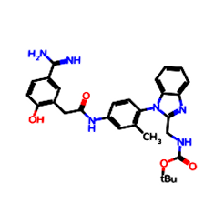 Cc1cc(NC(=O)Cc2cc(C(=N)N)ccc2O)ccc1-n1c(CNC(=O)OC(C)(C)C)nc2ccccc21